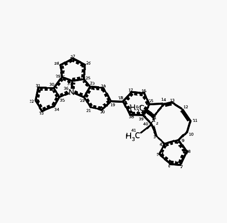 C=C1CC2c3ccccc3C/C=C\C=C/1c1ccc(-c3ccc4c(c3)c3cccc5c6ccccc6n4c53)cc1C2C